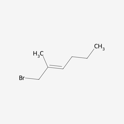 CCC/C=C(\C)CBr